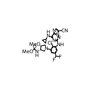 COC(=O)N[C@H]1CN(c2cc(C(F)F)cc(Nc3nc(NC4CC4)c4ncc(C#N)n4n3)c2Cl)C[C@H]1OC